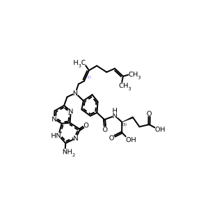 CC(C)=CCC/C(C)=C/CN(Cc1cnc2[nH]c(N)nc(=O)c2n1)c1ccc(C(=O)N[C@@H](CCC(=O)O)C(=O)O)cc1